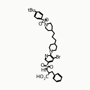 CC(C)(C)c1ccc(S(=O)(=O)N2CCC(CCCC3CCN(c4ncc(S(=O)(=O)NC(Cc5ccccc5)C(=O)O)cc4Br)CC3)CC2)cc1